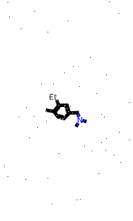 CCc1cc(CN(C)C)ccc1C